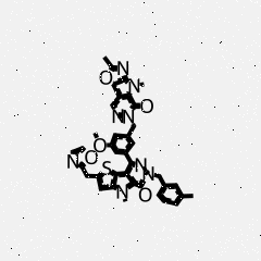 COc1cc(Cn2ncc3c4oc(C)nc4n(C)c3c2=O)cc(-c2nn(Cc3cccc(C)c3)c(=O)c3c2c2sc(Cc4ncco4)cc2n3C)c1